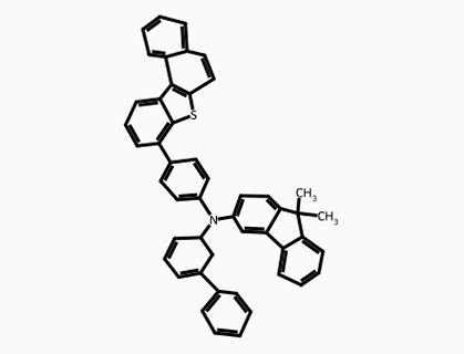 CC1(C)c2ccccc2-c2cc(N(c3ccc(-c4cccc5c4sc4ccc6ccccc6c45)cc3)C3C=CC=C(c4ccccc4)C3)ccc21